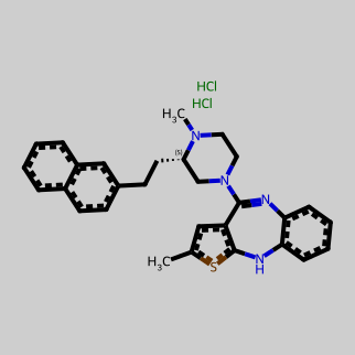 Cc1cc2c(s1)Nc1ccccc1N=C2N1CCN(C)[C@@H](CCc2ccc3ccccc3c2)C1.Cl.Cl